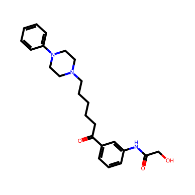 O=C(CO)Nc1cccc(C(=O)CCCCCN2CCN(c3ccccc3)CC2)c1